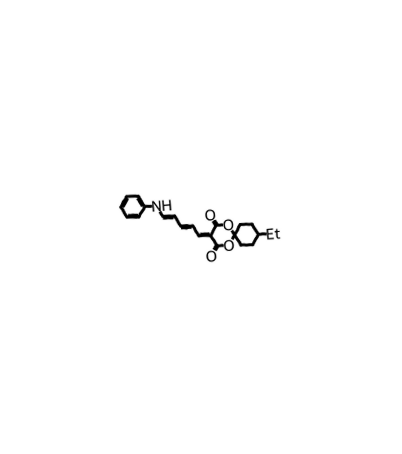 CCC1CCC2(CC1)OC(=O)C(=C/C=C/C=C/Nc1ccccc1)C(=O)O2